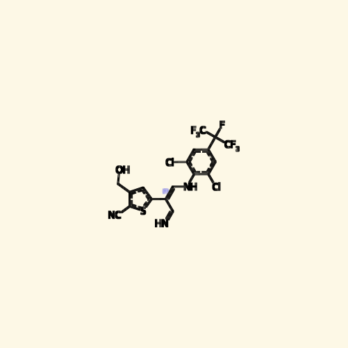 N#Cc1sc(/C(C=N)=C/Nc2c(Cl)cc(C(F)(C(F)(F)F)C(F)(F)F)cc2Cl)cc1CO